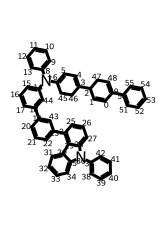 C1=CC(C2=CC=C(N(c3ccccc3)c3cccc(-c4cccc(-c5cccc6c5c5ccccc5n6-c5ccccc5)c4)c3)CC2)CC=C1c1ccccc1